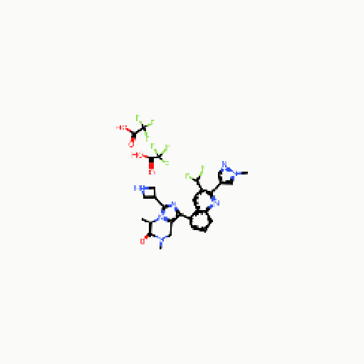 CC1C(=O)N(C)Cc2c(-c3cccc4nc(-c5cnn(C)c5)c(C(F)F)cc34)nc(C3CNC3)n21.O=C(O)C(F)(F)F.O=C(O)C(F)(F)F